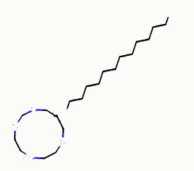 C1CNCCNCCNCNC1.CCCCCCCCCCCCCC